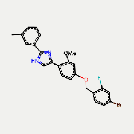 COc1cc(OCc2ccc(Br)cc2F)ccc1-c1c[nH]c(-c2cccc(C)c2)n1